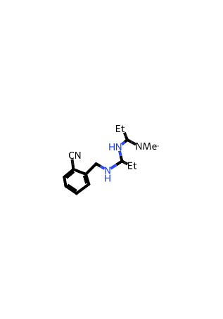 CCC([N]C)NC(CC)NCc1ccccc1C#N